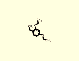 CCOc1ccc(CC)c(OCC)c1